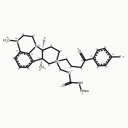 CCCCCCNC(=O)OC[N+]1(CCCC(=O)c2ccc(F)cc2)CC[C@@H]2N3CCN(C)c4cccc(c43)[C@]2(C)C1